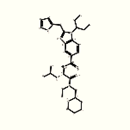 CCC(CC)n1c(Cc2cccs2)nc2cc(C(=O)N[C@@H](CC(C)C)C(=O)N(CC)CC3CCCCO3)ccc21